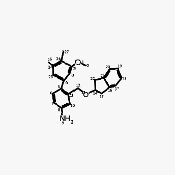 COc1cc(-c2ccc(N)cc2COC2Cc3ccccc3C2)cc(C)c1C